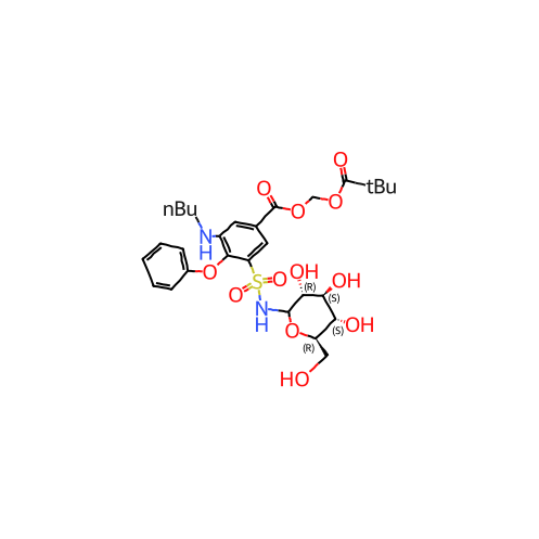 CCCCNc1cc(C(=O)OCOC(=O)C(C)(C)C)cc(S(=O)(=O)NC2O[C@H](CO)[C@@H](O)[C@H](O)[C@H]2O)c1Oc1ccccc1